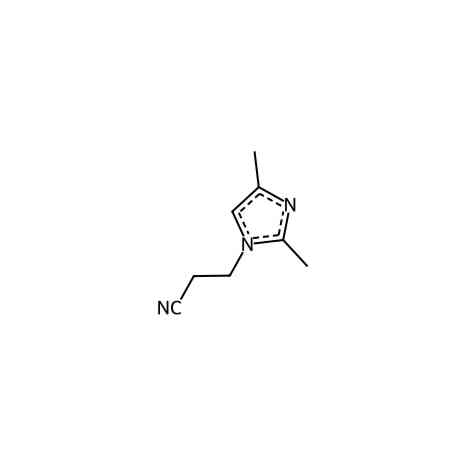 Cc1cn(CCC#N)c(C)n1